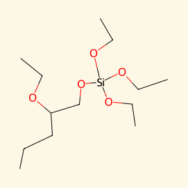 CCCC(CO[Si](OCC)(OCC)OCC)OCC